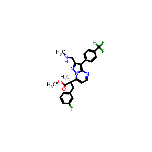 CNCc1nn2c([C@@](C)(Cc3cccc(F)c3)C(=O)OC)ccnc2c1-c1ccc(C(F)(F)F)cc1